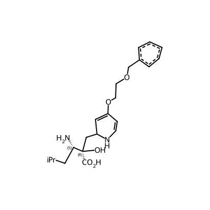 CC(C)C[C@H](N)[C@](O)(CC1C=C(OCCOCc2ccccc2)C=CN1)C(=O)O